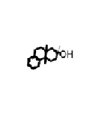 CC12CCc3ccccc3C1(C)CC[C@](C)(O)C2